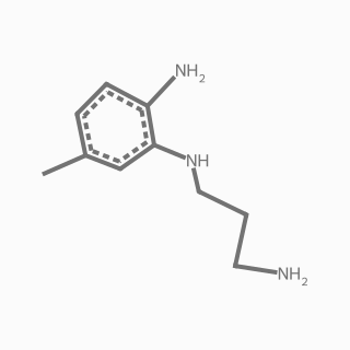 Cc1ccc(N)c(NCCCN)c1